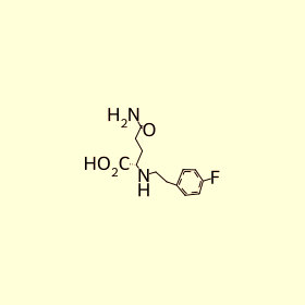 NC(=O)CC[C@H](NCCc1ccc(F)cc1)C(=O)O